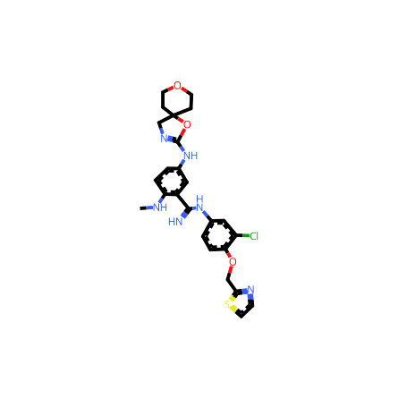 CNc1ccc(NC2=NCC3(CCOCC3)O2)cc1C(=N)Nc1ccc(OCc2nccs2)c(Cl)c1